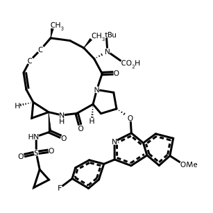 COc1ccc2c(O[C@@H]3C[C@H]4C(=O)N[C@]5(C(=O)NS(=O)(=O)C6CC6)C[C@H]5/C=C\CC[C@@H](C)C[C@@H](C)[C@H](N(C(=O)O)C(C)(C)C)C(=O)N4C3)nc(-c3ccc(F)cc3)cc2c1